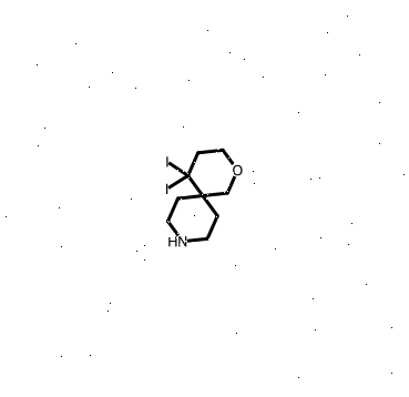 IC1(I)CCOCC12CCNCC2